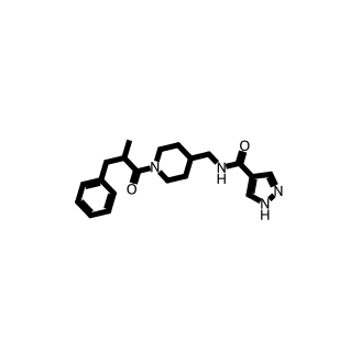 CC(Cc1ccccc1)C(=O)N1CCC(CNC(=O)c2cn[nH]c2)CC1